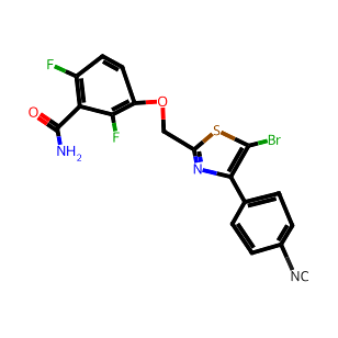 [C-]#[N+]c1ccc(-c2nc(COc3ccc(F)c(C(N)=O)c3F)sc2Br)cc1